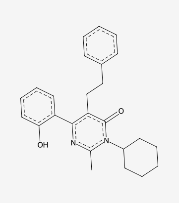 Cc1nc(-c2ccccc2O)c(CCc2ccccc2)c(=O)n1C1CCCCC1